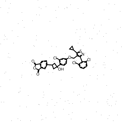 O=C1OC(=O)c2cc(C3CC(O)(c4ccc(OCc5c(-c6c(Cl)cccc6Cl)nsc5C5CC5)cc4Cl)C3)ccc21